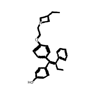 CC/C(=C(\c1ccc(O)cc1)c1ccc(OCCN2CC(CC)C2)cc1)c1ccccc1